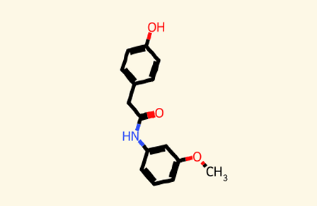 COc1cccc(NC(=O)Cc2ccc(O)cc2)c1